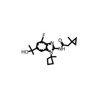 CC1(CC(=O)Nc2nc3c(F)cc(C(C)(C)O)cc3n2C2(C)CCC2)CC1